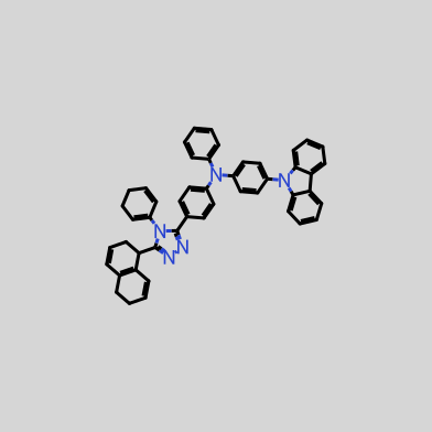 C1=CC(n2c(-c3ccc(N(c4ccccc4)c4ccc(-n5c6ccccc6c6ccccc65)cc4)cc3)nnc2C2CC=CC3=C2C=CCC3)=CCC1